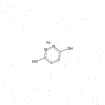 Oc1ccc(O)nn1.[Fe]